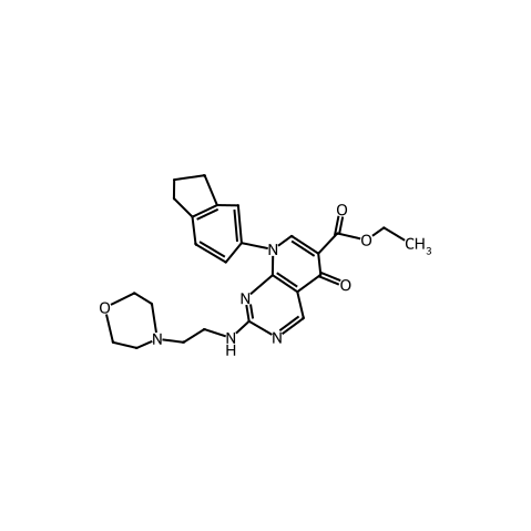 CCOC(=O)c1cn(-c2ccc3c(c2)CCC3)c2nc(NCCN3CCOCC3)ncc2c1=O